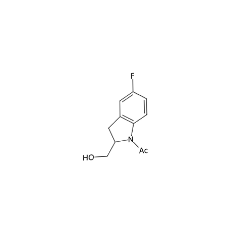 CC(=O)N1c2ccc(F)cc2CC1CO